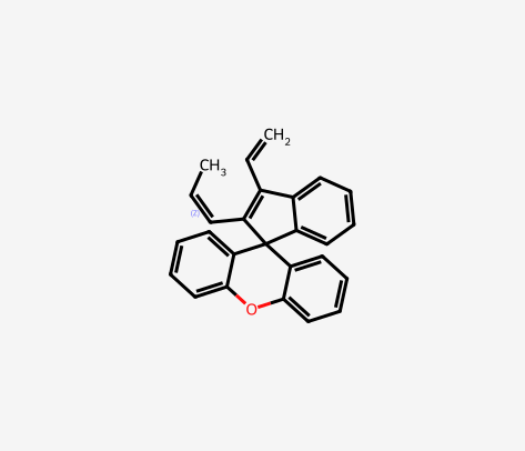 C=CC1=C(/C=C\C)C2(c3ccccc3Oc3ccccc32)c2ccccc21